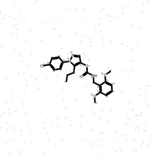 CCCc1c(OC(=O)NCc2c(OC)cccc2OC)cnn1-c1ccc(Cl)cc1